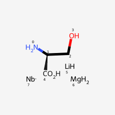 N[C@@H](CO)C(=O)O.[LiH].[MgH2].[Nb]